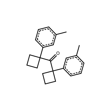 Cc1cccc(C2(C(=O)C3(c4cccc(C)c4)CCC3)CCC2)c1